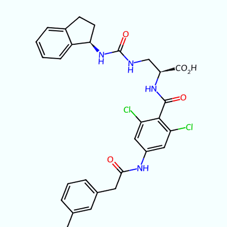 Cc1cccc(CC(=O)Nc2cc(Cl)c(C(=O)N[C@@H](CNC(=O)N[C@@H]3CCc4ccccc43)C(=O)O)c(Cl)c2)c1